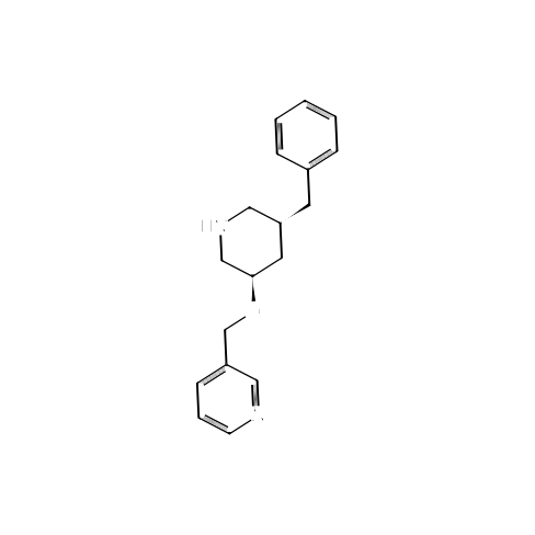 c1ccc(C[C@@H]2CNC[C@H](OCc3cccnc3)C2)cc1